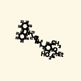 CCC(Oc1ccc(CC=NOCCn2c3ccccc3c3ccccc32)cc1C)C(=O)O